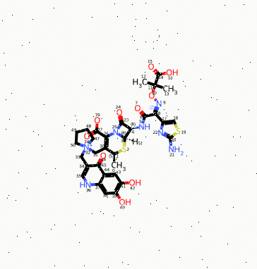 C[C@@H]1S[C@@H]2[C@H](NC(=O)/C(=N\OC(C)(C)C(=O)O)c3csc(N)n3)C(=O)N2C(C(=O)[O-])=C1C[N+]1(Cc2c[nH]c3cc(O)c(O)cc3c2=O)CCCC1